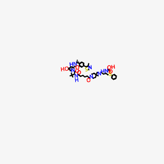 Cc1ncsc1-c1ccc([C@H](C)NC(=O)[C@@H]2C[C@@H](O)CN2C(=O)C(NC(=O)CCCCC(=O)N2CCC3(CC2)CN(CCC(CSc2ccccc2)NC(=O)O)C3)C(C)(C)C)cc1